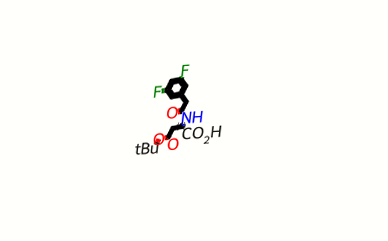 CC(C)(C)OC(=O)C[C@H](NC(=O)Cc1cc(F)cc(F)c1)C(=O)O